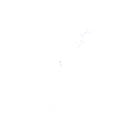 CCCCCCCCC(CC(=O)O)O/C=N/N=N